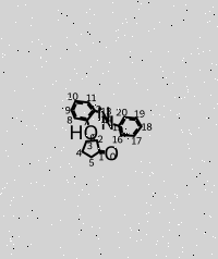 O=C1CCCC1.Oc1ccccc1N=Nc1ccccc1